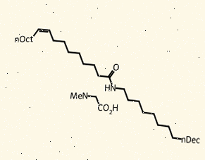 CCCCCCCC/C=C\CCCCCCCC(=O)NCCCCCCCCCCCCCCCCCC.CNCC(=O)O